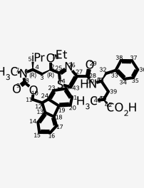 CCO[C@H](C[C@H](C(C)C)N(C)C(=O)OCC1c2ccccc2-c2ccccc21)c1nc(C(=O)N[C@@H](Cc2ccccc2)C[C@H](C)C(=O)O)cs1